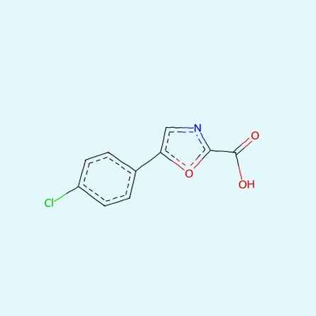 O=C(O)c1ncc(-c2ccc(Cl)cc2)o1